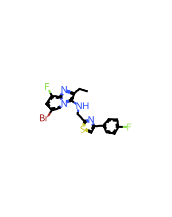 CCc1nc2c(F)cc(Br)cn2c1NCc1nc(-c2ccc(F)cc2)cs1